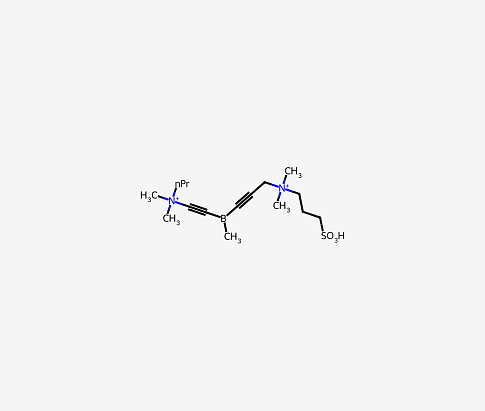 CCC[N+](C)(C)C#CB(C)C#CC[N+](C)(C)CCCS(=O)(=O)O